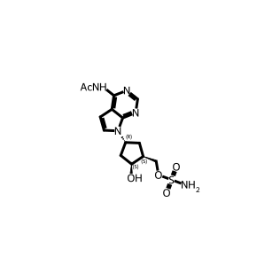 CC(=O)Nc1ncnc2c1ccn2[C@@H]1C[C@@H](COS(N)(=O)=O)[C@@H](O)C1